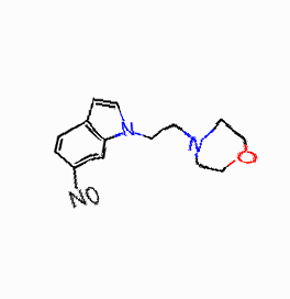 O=Nc1ccc2ccn(CCN3CCOCC3)c2c1